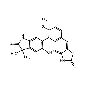 Cc1cc2c(cc1-c1cc(C=C3SC(=O)NC3=O)ccc1OC(F)(F)F)NC(=O)C2(C)C